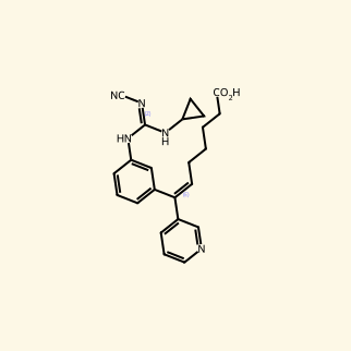 N#C/N=C(\Nc1cccc(/C(=C\CCCCC(=O)O)c2cccnc2)c1)NC1CC1